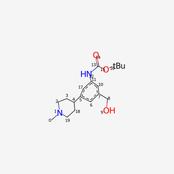 CN1CCC(c2cc(CO)cc(NC(=O)OC(C)(C)C)c2)CC1